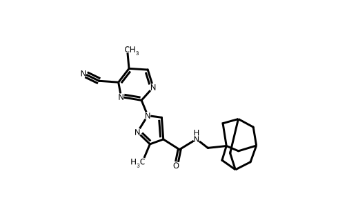 Cc1cnc(-n2cc(C(=O)NCC34CC5CC(CC(C5)C3)C4)c(C)n2)nc1C#N